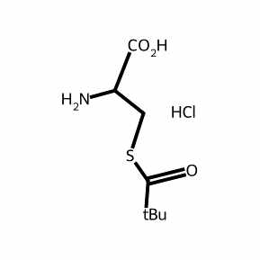 CC(C)(C)C(=O)SCC(N)C(=O)O.Cl